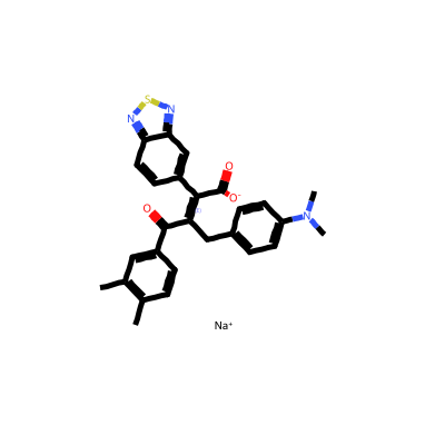 Cc1ccc(C(=O)/C(Cc2ccc(N(C)C)cc2)=C(/C(=O)[O-])c2ccc3nsnc3c2)cc1C.[Na+]